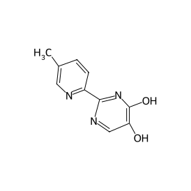 Cc1ccc(-c2ncc(O)c(O)n2)nc1